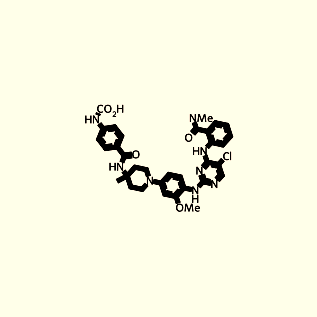 CNC(=O)c1ccccc1Nc1nc(Nc2ccc(N3CCC(C)(NC(=O)c4ccc(NC(=O)O)cc4)CC3)cc2OC)ncc1Cl